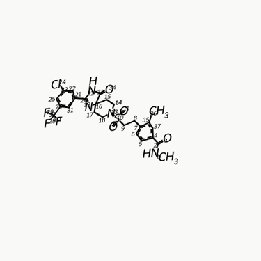 CNC(=O)c1ccc(CCS(=O)(=O)N2CCC3(CC2)N=C(c2cc(Cl)cc(C(F)(F)F)c2)NC3=O)c(C)c1